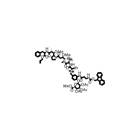 C=CCOC(=O)C(Cc1ccccc1)NC(=O)[C@H](C)[C@@H](OC)C1CCCN1C(=O)C[C@@H](OC)[C@H]([C@@H](C)CC)N(C)C(=O)C(NC(=O)C(C(C)C)[N+](C)(C)Cc1ccc(O[C@@H]2O[C@H](C(=O)OC)[C@@H](OC(C)=O)[C@H](OC(C)=O)[C@H]2OC(C)=O)c(NC(=O)CCNC(=O)OCC2c3ccccc3-c3ccccc32)c1)C(C)C